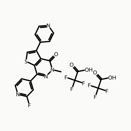 Cn1nc(-c2ccnc(F)c2)c2scc(-c3ccncc3)c2c1=O.O=C(O)C(F)(F)F.O=C(O)C(F)(F)F